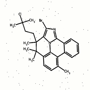 Cc1ccc2c3c1c1ccccc1c1nc(Br)c(n13)C(C)(CCC(C)(C)Cl)C2(C)C